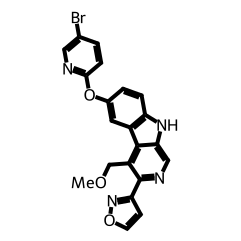 COCc1c(-c2ccon2)ncc2[nH]c3ccc(Oc4ccc(Br)cn4)cc3c12